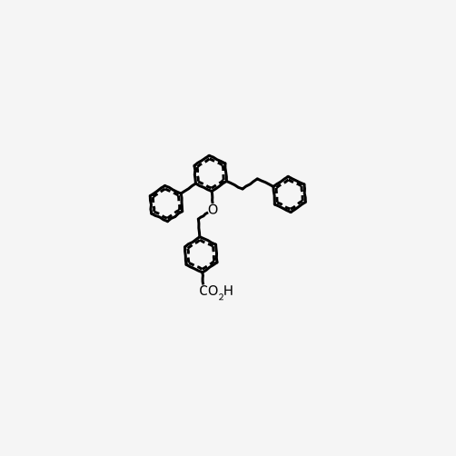 O=C(O)c1ccc(COc2c(CCc3ccccc3)cccc2-c2ccccc2)cc1